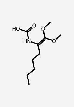 CCCCCC(NC(=O)O)=C(OC)OC